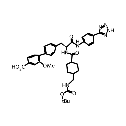 COc1cc(C(=O)O)ccc1-c1ccc(C[C@H](NC(=O)C2CCC(CNC(=O)OC(C)(C)C)CC2)C(=O)Nc2ccc(-c3nn[nH]n3)cc2)cc1